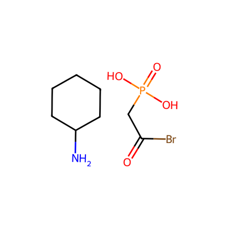 NC1CCCCC1.O=C(Br)CP(=O)(O)O